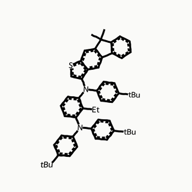 CCc1c(N(c2ccc(C(C)(C)C)cc2)c2ccc(C(C)(C)C)cc2)cccc1N(c1ccc(C(C)(C)C)cc1)c1csc2cc3c(cc12)-c1ccccc1C3(C)C